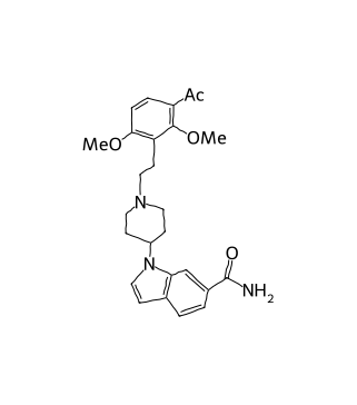 COc1ccc(C(C)=O)c(OC)c1CCN1CCC(n2ccc3ccc(C(N)=O)cc32)CC1